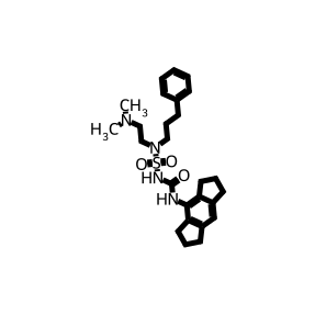 CN(C)CCN(CCCc1ccccc1)S(=O)(=O)NC(=O)Nc1c2c(cc3c1CCC3)CCC2